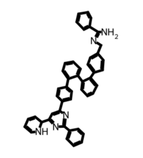 N/C(=N\Cc1ccc(-c2ccccc2-c2ccccc2-c2ccc(-c3cc(C4C=CC=CN4)nc(-c4ccccc4)n3)cc2)cc1)c1ccccc1